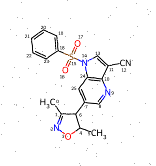 CC1=NOC(C)C1c1cnc2c(C#N)cn(S(=O)(=O)c3ccccc3)c2c1